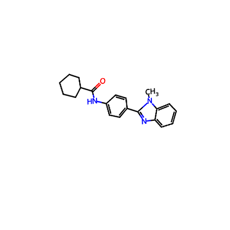 Cn1c(-c2ccc(NC(=O)C3CCCCC3)cc2)nc2ccccc21